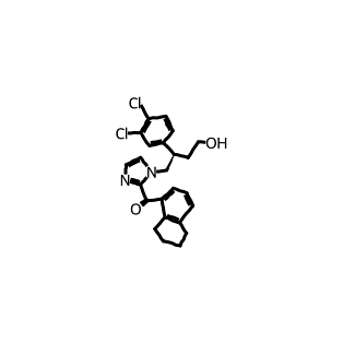 O=C(c1cccc2c1CCCC2)c1nccn1C[C@H](CCO)c1ccc(Cl)c(Cl)c1